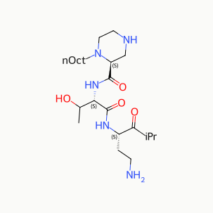 CCCCCCCCN1CCNC[C@H]1C(=O)N[C@H](C(=O)N[C@@H](CCN)C(=O)C(C)C)C(C)O